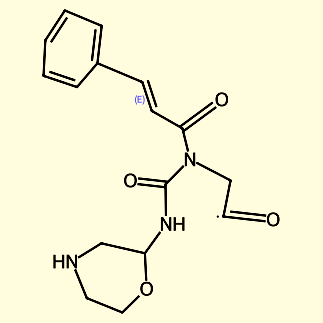 O=[C]CN(C(=O)/C=C/c1ccccc1)C(=O)NC1CNCCO1